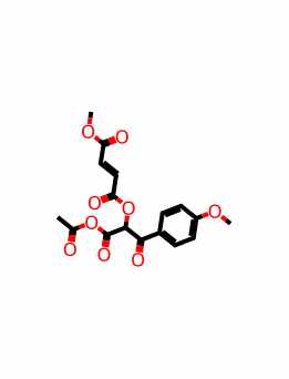 COC(=O)C=CC(=O)OC(C(=O)OC(C)=O)C(=O)c1ccc(OC)cc1